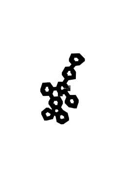 c1ccc(-c2ccc(-c3cc(-c4ccccc4-c4ccc5c(c4)C4(CCCC4)c4ccccc4-5)nc(-c4ccccc4)n3)cc2)cc1